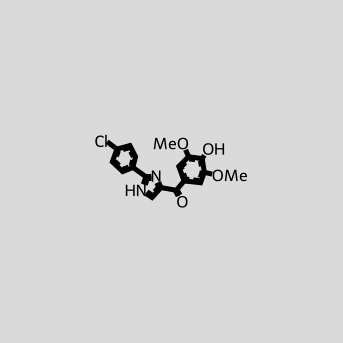 COc1cc(C(=O)c2c[nH]c(-c3ccc(Cl)cc3)n2)cc(OC)c1O